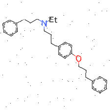 CCN(CCCc1ccccc1)CCCc1ccc(OCCCc2ccccc2)cc1